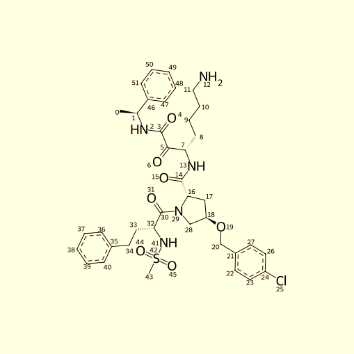 C[C@H](NC(=O)C(=O)[C@H](CCCCN)NC(=O)[C@@H]1C[C@@H](OCc2ccc(Cl)cc2)CN1C(=O)[C@@H](CCc1ccccc1)NS(C)(=O)=O)c1ccccc1